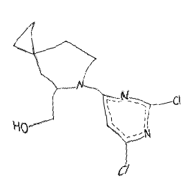 OCC1CC2(CCN1c1cc(Cl)nc(Cl)n1)CC2